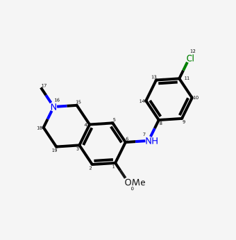 COc1cc2c(cc1Nc1ccc(Cl)cc1)CN(C)CC2